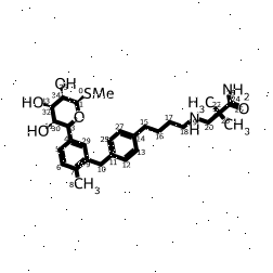 CS[C@H]1OC(c2ccc(C)c(Cc3ccc(CCCCNCC(C)(C)C(N)=O)cc3)c2)[C@H](O)[C@@H](O)[C@@H]1O